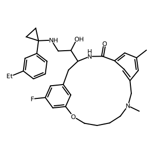 CCc1cccc(C2(NCC(O)C3Cc4cc(F)cc(c4)OCCCCN(C)Cc4cc(C)cc(c4)C(=O)N3)CC2)c1